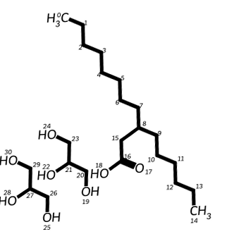 CCCCCCCCC(CCCCCC)CC(=O)O.OCC(O)CO.OCC(O)CO